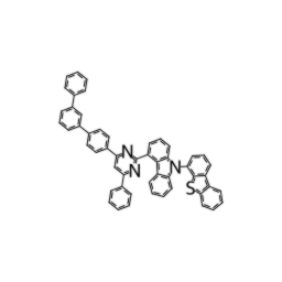 c1ccc(-c2cccc(-c3ccc(-c4cc(-c5ccccc5)nc(-c5cccc6c5c5ccccc5n6-c5cccc6c5sc5ccccc56)n4)cc3)c2)cc1